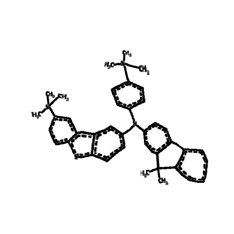 CC1(C)c2ccccc2-c2ccc(N(c3ccc([Si](C)(C)C)cc3)c3ccc4sc5ccc([Si](C)(C)C)cc5c4c3)cc21